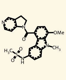 COc1ccc(C(=O)N2CCc3cnccc32)c2c3cc(NS(C)(=O)=O)ccc3n(C)c12